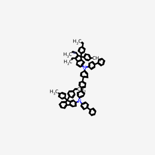 C=CC1=C(/C=C\C)C(c2ccc(C)cc2)(c2ccc(C=C)cc2)c2cc(N(c3ccc(-c4ccccc4)cc3)c3ccc(-c4ccc(-c5ccc(N(c6ccc(-c7ccccc7)cc6)c6ccc7c(c6)C(c6ccc(C)cc6)(c6ccc(C=C)cc6)c6ccccc6-7)cc5)cc4)cc3)ccc21